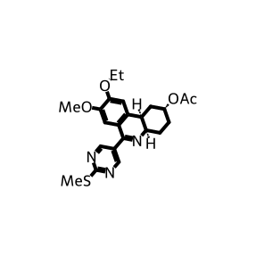 CCOc1cc2c(cc1OC)C(c1cnc(SC)nc1)=N[C@@H]1CC[C@@H](OC(C)=O)C[C@H]21